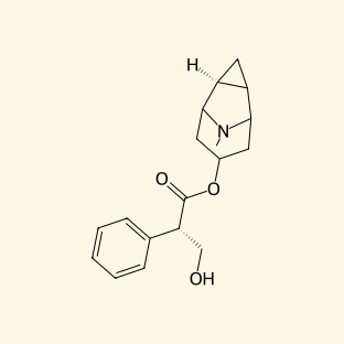 CN1C2CC(OC(=O)[C@H](CO)c3ccccc3)CC1[C@H]1CC21